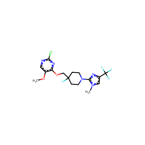 COc1cnc(Cl)nc1OCC1(F)CCN(c2nc(C(F)(F)F)cn2C)CC1